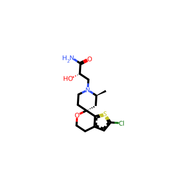 C[C@H]1C[C@@]2(CCN1C[C@H](O)C(N)=O)OCCc1cc(Cl)sc12